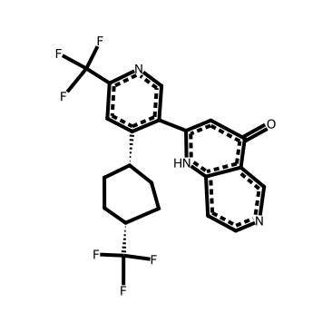 O=c1cc(-c2cnc(C(F)(F)F)cc2[C@H]2CC[C@@H](C(F)(F)F)CC2)[nH]c2ccncc12